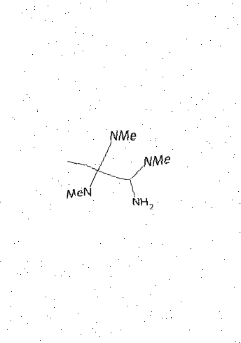 CNC(N)C(C)(NC)NC